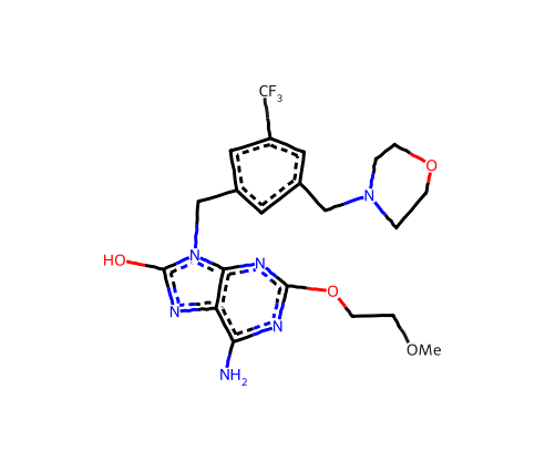 COCCOc1nc(N)c2nc(O)n(Cc3cc(CN4CCOCC4)cc(C(F)(F)F)c3)c2n1